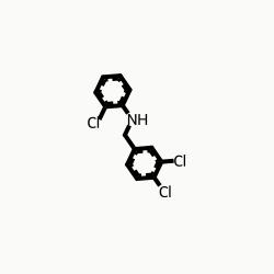 Clc1ccc(CNc2ccccc2Cl)cc1Cl